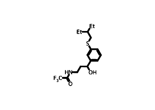 CCC(CC)CSc1cccc(C(O)CCNC(=O)C(F)(F)F)c1